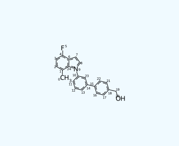 Cc1ccc(F)c2ccn(-c3cccc(-c4ccc(CO)cc4)c3)c12